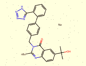 CCCCc1nc2ccc(C(C)(C)O)cc2c(=O)n1Cc1ccc(-c2ccccc2-c2nnn[nH]2)cc1.[Na]